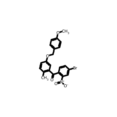 COc1ccc(COc2ccc(C)c(C(=O)c3ccc(Br)cc3[N+](=O)[O-])c2)cc1